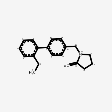 CCc1ccccc1-c1ccc(CN2CCCC2=O)cc1